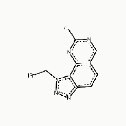 CC(C)Cn1nnc2ccc3cnc(Cl)nc3c21